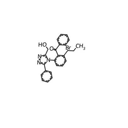 CCCc1cccc(-n2c(CO)nnc2-c2ccccc2)c1C(=O)c1ccccc1Br